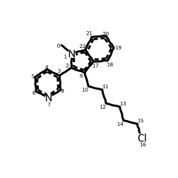 Cn1c(-c2cccnc2)c(CCCCCCCl)c2ccccc21